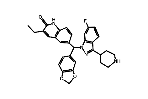 CCc1cc2cc(C(c3ccc4c(c3)OCO4)n3nc(C4CCNCC4)c4ccc(F)cc43)ccc2[nH]c1=O